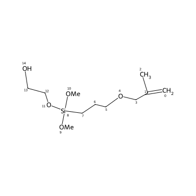 C=C(C)COCCC[Si](OC)(OC)OCCO